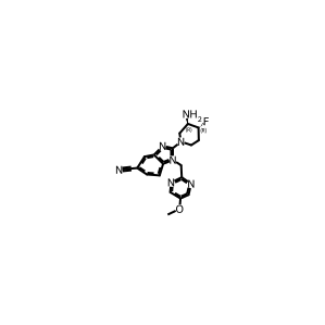 COc1cnc(Cn2c(N3CC[C@@H](F)[C@H](N)C3)nc3cc(C#N)ccc32)nc1